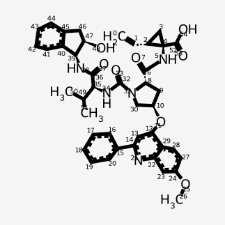 C=C[C@@H]1C[C@]1(NC(=O)[C@@H]1C[C@@H](Oc2cc(-c3ccccc3)nc3cc(OC)ccc23)CN1C(=O)N[C@H](C(=O)N[C@H]1c2ccccc2C[C@H]1O)C(C)C)C(=O)O